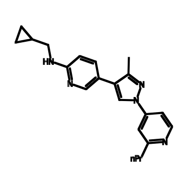 CCCc1cc(-n2cc(-c3ccc(NCC4CC4)nc3)c(C)n2)ccn1